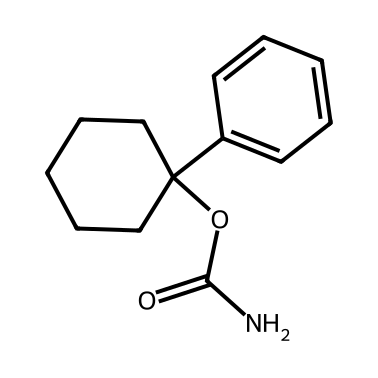 NC(=O)OC1(c2ccccc2)CCCCC1